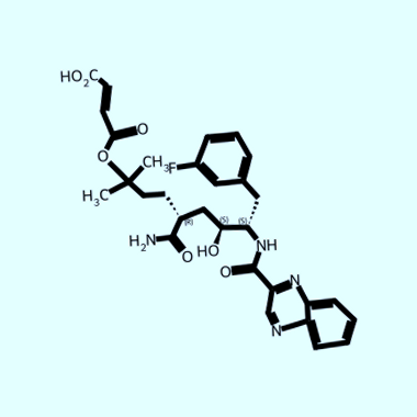 CC(C)(CC[C@H](C[C@H](O)[C@H](Cc1cccc(F)c1)NC(=O)c1cnc2ccccc2n1)C(N)=O)OC(=O)C=CC(=O)O